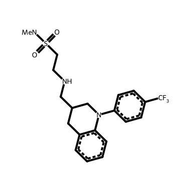 CNS(=O)(=O)CCNCC1Cc2ccccc2N(c2ccc(C(F)(F)F)cc2)C1